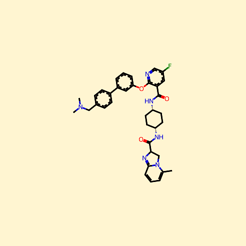 CC1=CC=CC2=NC(C(=O)N[C@H]3CC[C@@H](NC(=O)c4cc(F)cnc4Oc4cccc(-c5ccc(CN(C)C)cc5)c4)CC3)CN12